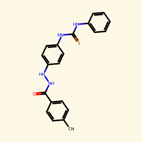 N#Cc1ccc(C(=O)NNc2ccc(NC(=S)Nc3ccccc3)cc2)cc1